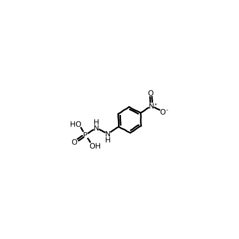 O=[N+]([O-])c1ccc(NNP(=O)(O)O)cc1